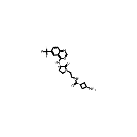 N[C@H]1C[C@@H](C(=O)NCCN2CC[C@H](Nc3ncnc4ccc(C(F)(F)F)cc34)C2=O)C1